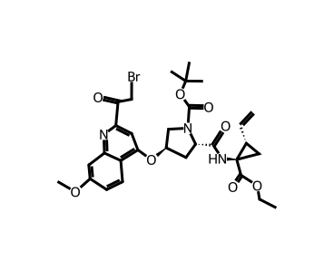 C=C[C@@H]1C[C@]1(NC(=O)[C@@H]1C[C@@H](Oc2cc(C(=O)CBr)nc3cc(OC)ccc23)CN1C(=O)OC(C)(C)C)C(=O)OCC